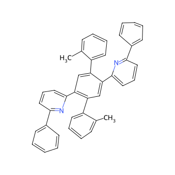 Cc1ccccc1-c1cc(-c2cccc(-c3ccccc3)n2)c(-c2ccccc2C)cc1-c1cccc(-c2ccccc2)n1